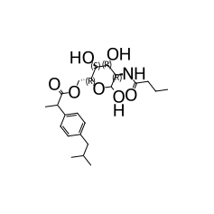 CCCC(=O)N[C@H]1C(O)O[C@H](COC(=O)C(C)c2ccc(CC(C)C)cc2)[C@@H](O)[C@@H]1O